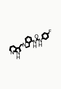 O=C(Nc1ccc(F)cc1)Nc1cccc2c1CCN2Cc1c[nH]c2ncccc12